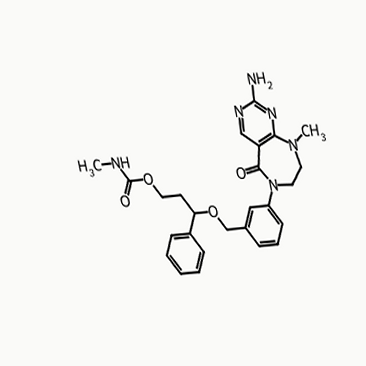 CNC(=O)OCCC(OCc1cccc(N2CCN(C)c3nc(N)ncc3C2=O)c1)c1ccccc1